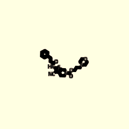 N#Cc1c(NC(=O)C=Cc2ccccc2)sc2c1CCN(C(=O)OCCCN1CCOCC1)C2